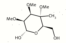 CO[C@H]1[C@@H](OC)[C@](C)(OC)[C@@H](CO)O[C@@H]1O